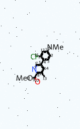 CNc1ccc(-c2cnc(C(=O)OC)c(C)c2)c(Cl)c1